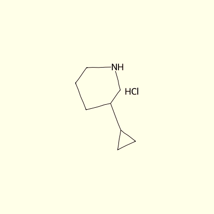 C1CNCC(C2CC2)C1.Cl